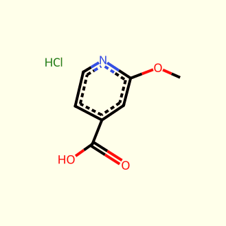 COc1cc(C(=O)O)ccn1.Cl